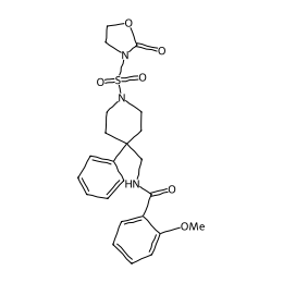 COc1ccccc1C(=O)NCC1(c2ccccc2)CCN(S(=O)(=O)N2CCOC2=O)CC1